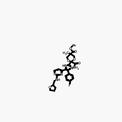 CC(C)OC(=O)C1(C)COC(C(N)=O)(c2nc(-c3ccc(F)cc3)c(-c3ccnc(NCC4CCCO4)n3)[nH]2)OC1